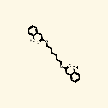 O=C(Cc1ccccc1O)OCCCCCCOC(=O)Cc1ccccc1O